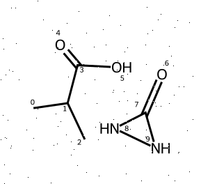 CC(C)C(=O)O.O=C1NN1